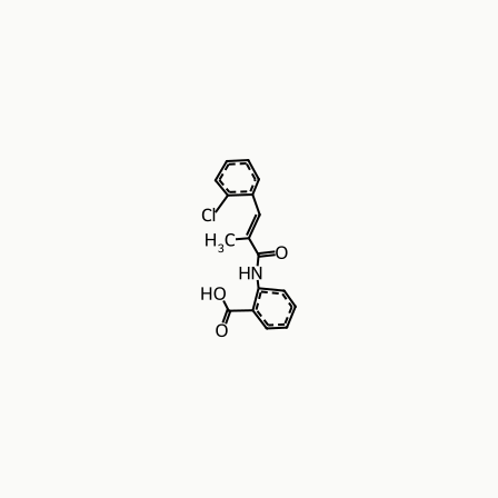 C/C(=C\c1ccccc1Cl)C(=O)Nc1ccccc1C(=O)O